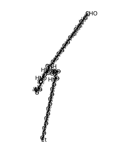 CCOCCOCCOCCOCCOCCOCCOCCOCCOCCOCCOCCOCCNC(=O)CCN1C(=O)CC(SC[C@H](NC(=O)COCC(=O)Nc2ccc(CCC(=O)N3CCC3=O)cc2)C(=O)NCCOCCOCCOCCOCCOCCOCCOCCOCCOCCOCCOCCOCCC=O)C1=O